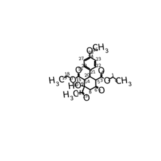 CCOC(=O)C1C(=O)CC(O)(C(C)=O)C(C(=O)OCC)C1c1ccc(OC)cc1